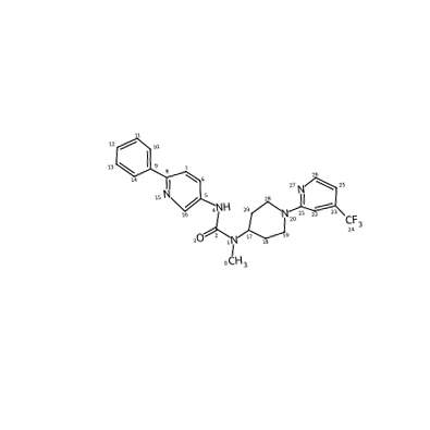 CN(C(=O)Nc1ccc(-c2ccccc2)nc1)C1CCN(c2cc(C(F)(F)F)ccn2)CC1